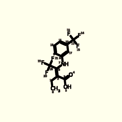 CC/C(C(=O)O)=C(/Nc1cccc(C(F)(F)F)c1)C(F)(F)F